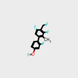 Cc1c(-c2ccc(OF)cc2F)cc(F)c(CF)c1F